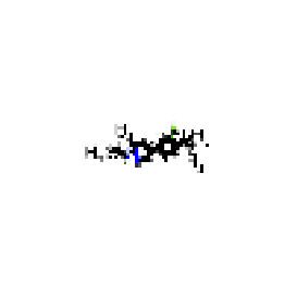 CC(C)CN1CCC(c2ccc(C(C)C)c(F)c2)CC1